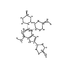 COC(=O)c1sc(C2CCC(=O)CC2)cc1N(C(=O)[C@H]1CC[C@H](C)CC1)[C@H]1CC[C@H](OC)CC1